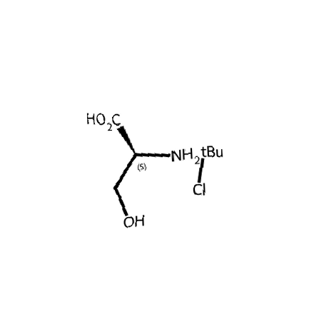 CC(C)(C)Cl.N[C@@H](CO)C(=O)O